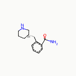 NC(=O)c1ccccc1C[C@@H]1CCCNC1